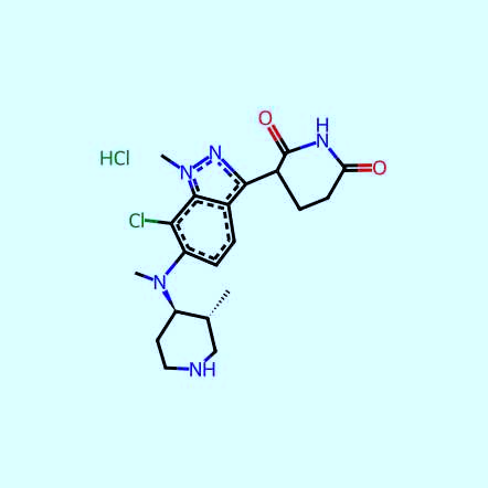 C[C@@H]1CNCC[C@H]1N(C)c1ccc2c(C3CCC(=O)NC3=O)nn(C)c2c1Cl.Cl